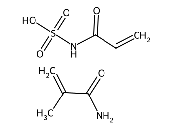 C=C(C)C(N)=O.C=CC(=O)NS(=O)(=O)O